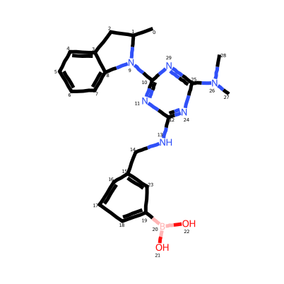 CC1Cc2ccccc2N1c1nc(NCc2cccc(B(O)O)c2)nc(N(C)C)n1